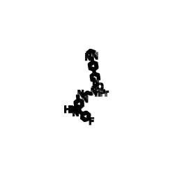 CCCN(CCc1ncc2cc3[nH]nc(-c4ccc(F)cc4)c3cc2n1)CC(=O)N1CC=C(c2ccc(-c3ncccn3)cc2)CC1